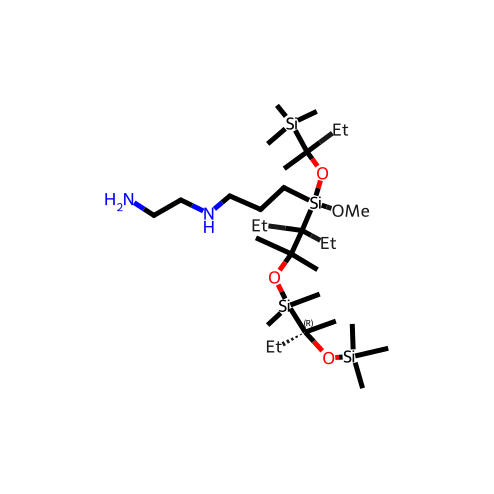 CCC(C)(O[Si](CCCNCCN)(OC)C(CC)(CC)C(C)(C)O[Si](C)(C)[C@](C)(CC)O[Si](C)(C)C)[Si](C)(C)C